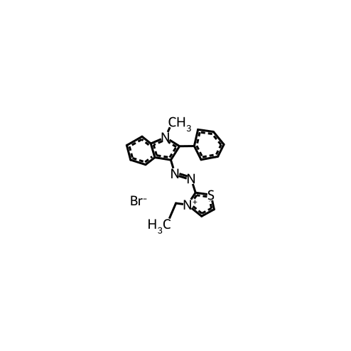 CC[n+]1ccsc1N=Nc1c(-c2ccccc2)n(C)c2ccccc12.[Br-]